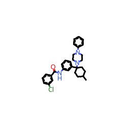 CC1CCC(c2cccc(NC(=O)c3cccc(Cl)c3)c2)(N2CCN(c3ccccc3)CC2)CC1